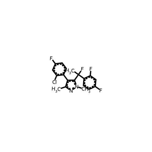 Cc1nn(C)c(C(C)(F)c2ccc(F)cc2F)c1-c1ccc(F)cc1Cl